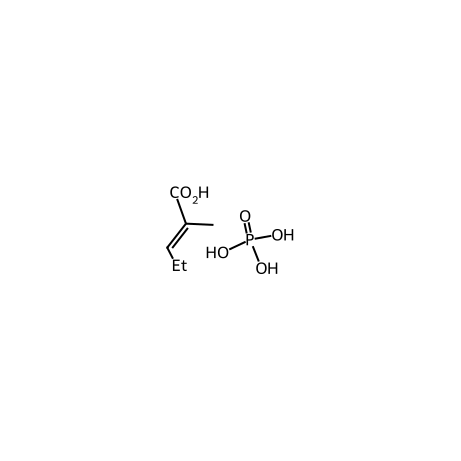 CCC=C(C)C(=O)O.O=P(O)(O)O